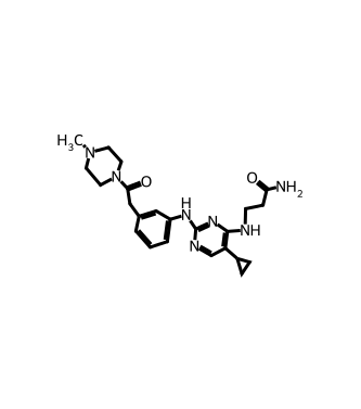 CN1CCN(C(=O)Cc2cccc(Nc3ncc(C4CC4)c(NCCC(N)=O)n3)c2)CC1